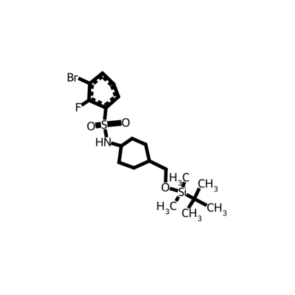 CC(C)(C)[Si](C)(C)OCC1CCC(NS(=O)(=O)c2cccc(Br)c2F)CC1